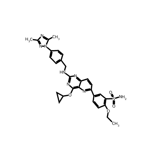 CCOc1ccc(-c2ccc3nc(NCc4ccc(-n5nc(C)nc5C)cc4)nc(OC4CC4)c3n2)cc1S(N)(=O)=O